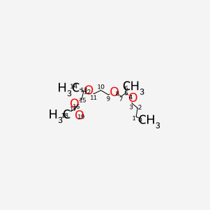 CCCCOC(C)COCCCOC(C)COC(C)=O